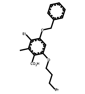 CCc1c(OCc2ccccc2)cc(OCCCC(C)C)c(C(=O)O)c1C